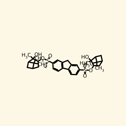 CC1(C)C2CC(OS(=O)(=O)c3ccc4c(c3)Cc3cc(S(=O)(=O)OC5CC6CC(C6(C)C)C5(C)O)ccc3-4)C(C)(O)C1C2